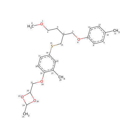 COCCC(COc1ccc(C)cc1)CSc1ccc(OCC2OC(C)O2)c(C)c1